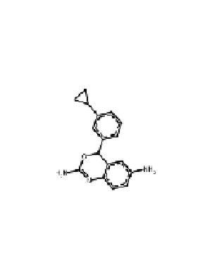 NC1=Nc2ccc(N)cc2C(c2cccc(C3CC3)c2)O1